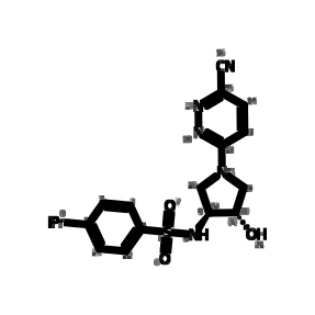 CC(C)c1ccc(S(=O)(=O)N[C@H]2CN(c3ccc(C#N)nn3)C[C@@H]2O)cc1